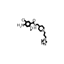 COc1cc(N)c(Cl)cc1C(=O)NCC1CCN(CCCn2cnnn2)CC1